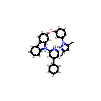 Cc1cc(C)n(-c2cccc(Oc3ccc4c5ccccc5n(-c5cc(-c6ccccc6)ccn5)c4c3)c2)n1